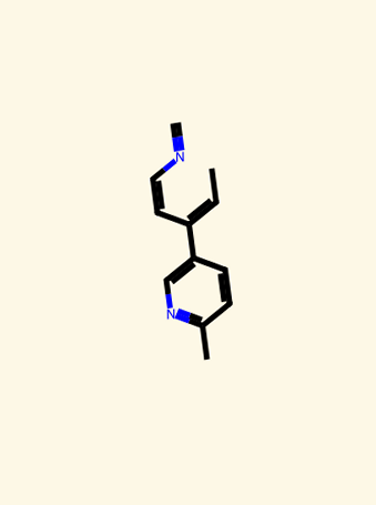 C=N/C=C\C(=C/C)c1ccc(C)nc1